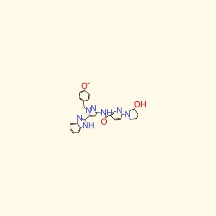 COc1ccc(Cn2nc(NC(=O)c3ccc(N4CCCC(O)C4)nc3)cc2-c2nc3ccccc3[nH]2)cc1